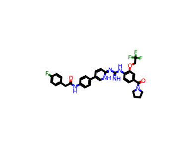 N=C(/N=c1/ccc(-c2ccc(NC(=O)Cc3ccc(F)cc3)cc2)c[nH]1)Nc1ccc(C(=O)N2CCCC2)cc1OCC(F)(F)F